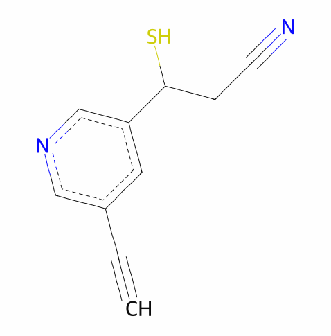 C#Cc1cncc(C(S)CC#N)c1